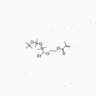 C=C(C)C(=O)OCCOC(CC)[Si](C)(C)O[Si](C)(C)O[Si](C)(C)C